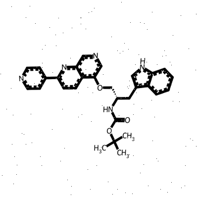 CC(C)(C)OC(=O)N[C@H](COc1cncc2nc(-c3ccncc3)ccc12)Cc1c[nH]c2ccccc12